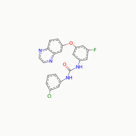 O=C(Nc1cccc(Cl)c1)Nc1cc(F)cc(Oc2ccc3nccnc3c2)c1